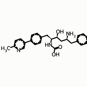 Cc1ccc(-c2ccc(C[C@H](NC(=O)O)[C@@H](O)C[C@@H](N)Cc3ccccc3)cc2)cn1